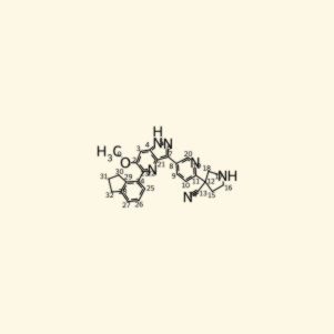 COc1cc2[nH]nc(-c3ccc(C4(C#N)CCNC4)nc3)c2nc1-c1cccc2c1CCC2